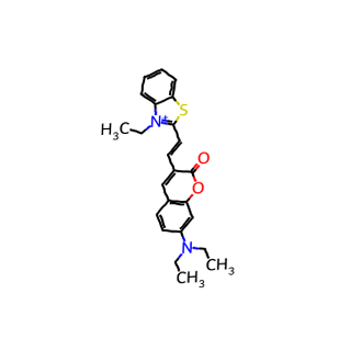 CCN(CC)c1ccc2cc(/C=C/c3sc4ccccc4[n+]3CC)c(=O)oc2c1